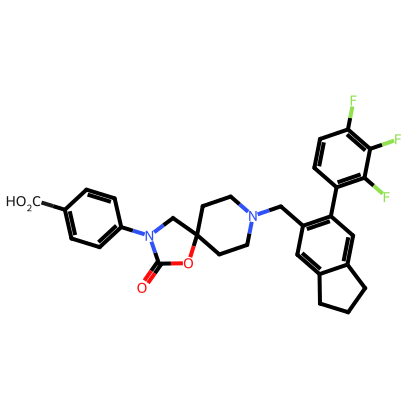 O=C(O)c1ccc(N2CC3(CCN(Cc4cc5c(cc4-c4ccc(F)c(F)c4F)CCC5)CC3)OC2=O)cc1